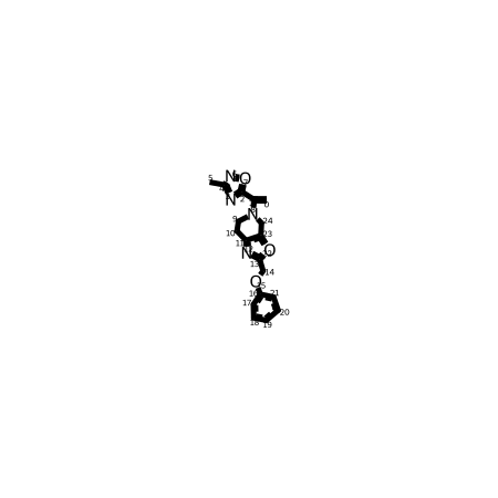 C=C(c1nc(C)no1)N1CCc2nc(COc3ccccc3)oc2C1